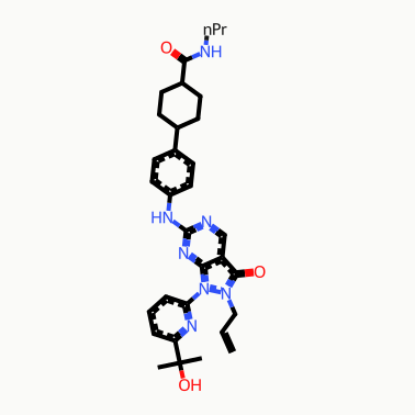 C=CCn1c(=O)c2cnc(Nc3ccc(C4CCC(C(=O)NCCC)CC4)cc3)nc2n1-c1cccc(C(C)(C)O)n1